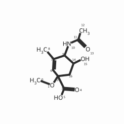 COC1(C(=O)O)C=C(C)C(NC(C)=O)C(O)C1